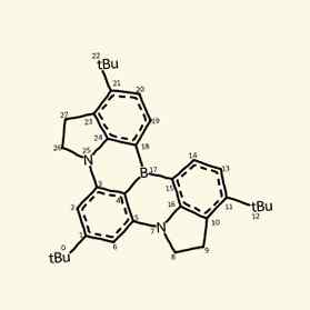 CC(C)(C)c1cc2c3c(c1)N1CCc4c(C(C)(C)C)ccc(c41)B3c1ccc(C(C)(C)C)c3c1N2CC3